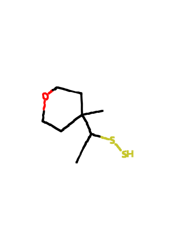 CC(SS)C1(C)CCOCC1